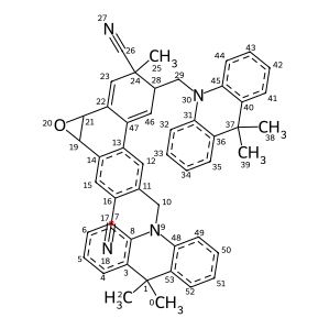 CC1(C)c2ccccc2N(Cc2cc3c(cc2C#N)C2OC2C2=CC(C)(C#N)C(CN4c5ccccc5C(C)(C)c5ccccc54)C=C23)c2ccccc21